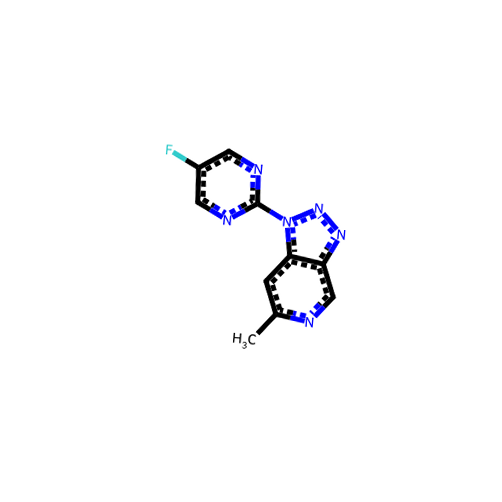 Cc1cc2c(cn1)nnn2-c1ncc(F)cn1